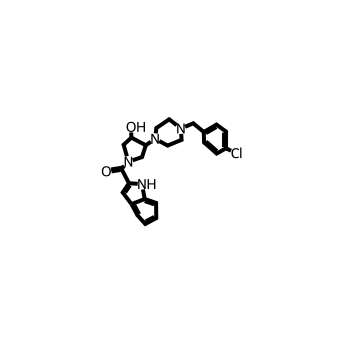 O=C(c1cc2ccccc2[nH]1)N1CC(O)C(N2CCN(Cc3ccc(Cl)cc3)CC2)C1